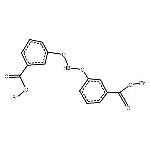 CC(C)OC(=O)c1cccc(OBOc2cccc(C(=O)OC(C)C)c2)c1